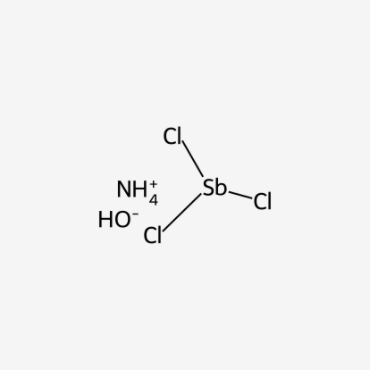 [Cl][Sb]([Cl])[Cl].[NH4+].[OH-]